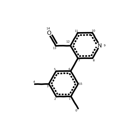 Cc1cc(C)cc(-c2cnccc2C=O)c1